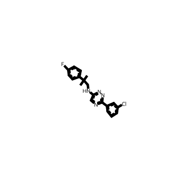 CC(C)(CNc1cnc(-c2cccc(Cl)c2)nn1)c1ccc(F)cc1